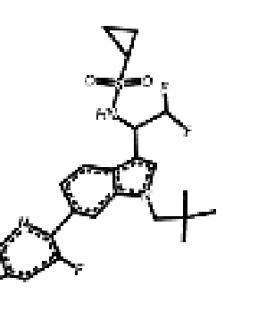 CC(C)(C)Cn1cc(C(NS(=O)(=O)C2CC2)C(F)F)c2ccc(-c3ncc(Cl)cc3F)cc21